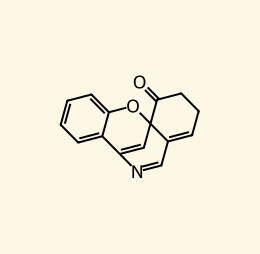 O=C1CCC=C2C=NC3=CC12Oc1ccccc13